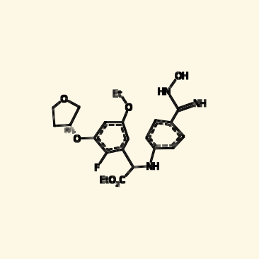 CCOC(=O)C(Nc1ccc(C(=N)NO)cc1)c1cc(OCC)cc(O[C@@H]2CCOC2)c1F